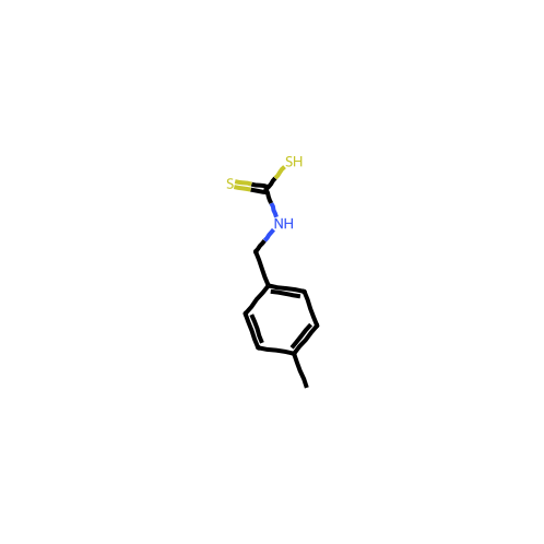 Cc1ccc(CNC(=S)S)cc1